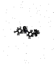 Cc1ccc([S+]([O-])/N=C/c2cccc(-c3nccs3)c2)cc1